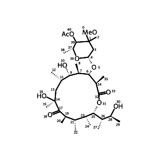 COC1(C)C[C@H](O[C@H]2[C@H](C)[C@@H](O)[C@@H](C)C[C@](C)(O)C(=O)[C@H](C)[C@@H](C)[C@@H](C)[C@@H]([C@@H](C)[C@H](C)O)OC(=O)[C@@H]2C)O[C@H](C)C1OC(C)=O